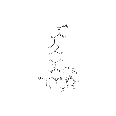 COC(=O)NC1CC2(CCN(c3nc(C(C)C)nc(-c4c(C)noc4C)c3C)CC2)C1